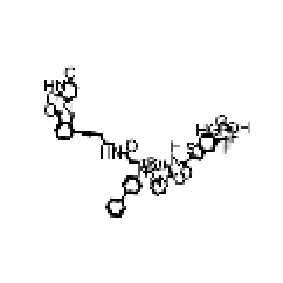 CC(C)(C)C(NC(=O)c1cc2cc(C(F)(F)P(=O)(O)O)ccc2s1)C(=O)N1CCC[C@H]1C(=O)N(CCC(=O)NCCCC#Cc1cccc2c1CN(C1CCC(=O)NC1=O)C2=O)c1ccc(-c2ccccc2)cc1